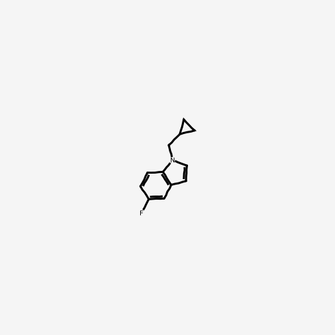 Fc1ccc2c(ccn2CC2CC2)c1